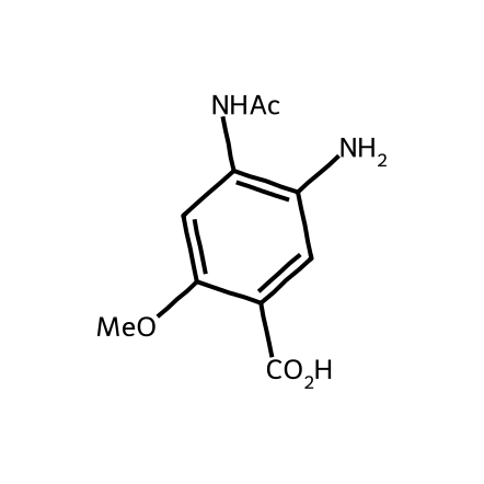 COc1cc(NC(C)=O)c(N)cc1C(=O)O